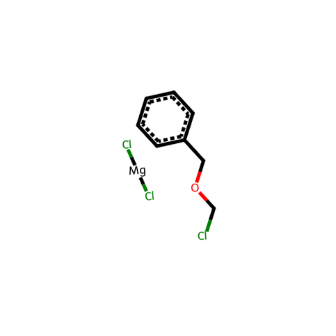 ClCOCc1ccccc1.[Cl][Mg][Cl]